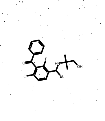 CCC(NC(C)(C)CO)c1ccc(Cl)c(C(=O)c2ccccc2)c1F